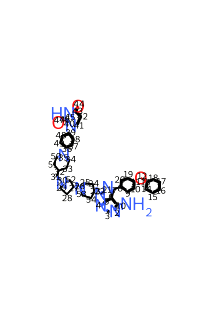 Nc1ncnc2c1c(-c1ccc(Oc3ccccc3)cc1)nn2C1CCN(C2CCN(CC3CCN(c4ccc(-n5ccc(=O)[nH]c5=O)cc4)CC3)C2)CC1